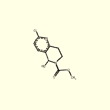 COC(=O)N1CCc2nc(Cl)ccc2C1O